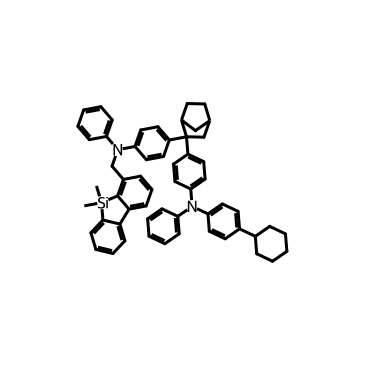 C[Si]1(C)c2ccccc2-c2cccc(CN(c3ccccc3)c3ccc(C4(c5ccc(N(c6ccccc6)c6ccc(C7CCCCC7)cc6)cc5)CC5CCC4C5)cc3)c21